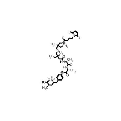 CCC(C)(CNC(=O)CCCN1C(=O)C=CC1=O)COCC(C)(CC)CC(=O)N[C@@H](C)C(=O)N[C@@H](C)C(=O)Nc1ccc(C[C@H](N)C[C@H](C)C(=O)O)cc1